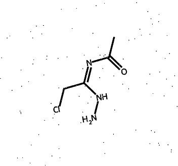 CC(=O)N=C(CCl)NN